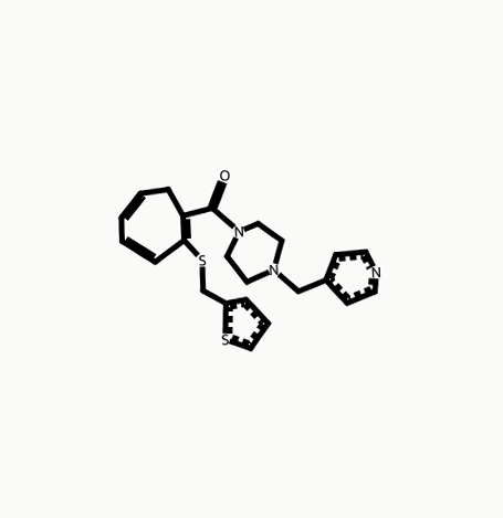 O=C(C1=C(SCc2cccs2)C=CC=CC1)N1CCN(Cc2ccncc2)CC1